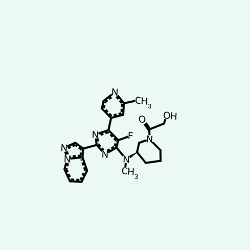 Cc1cc(-c2nc(-c3cnn4ccccc34)nc(N(C)[C@@H]3CCCN(C(=O)CO)C3)c2F)ccn1